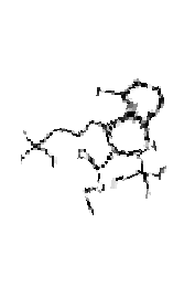 CCOC(=O)c1c(C(F)(F)F)nc2cccc(F)c2c1CCCC(F)(F)F